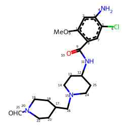 COc1cc(N)c(Cl)cc1C(=O)NC1CCN(CC2CCN(C=O)CC2)CC1